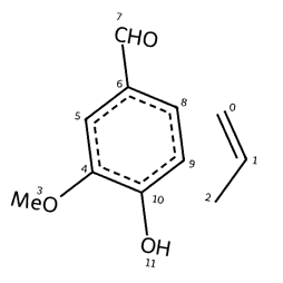 C=CC.COc1cc(C=O)ccc1O